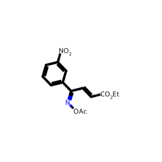 CCOC(=O)/C=C/C(=N\OC(C)=O)c1cccc([N+](=O)[O-])c1